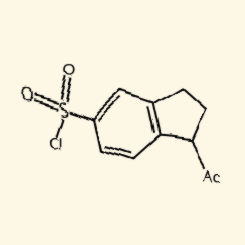 CC(=O)C1CCc2cc(S(=O)(=O)Cl)ccc21